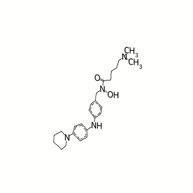 CN(C)CCCCC(=O)N(O)Cc1ccc(Nc2ccc(N3CCCCC3)cc2)cc1